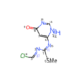 CSC(/N=C/Cl)=N/c1cc(=O)nc[nH]1